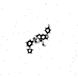 O=C(OCF)C12Cc3cnn(-c4ccc(F)cc4)c3C=C1CCN(S(=O)(=O)c1cccc(N3CCCC3)c1)C2